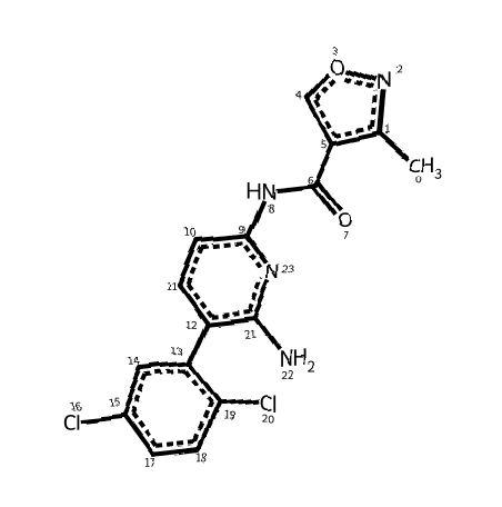 Cc1nocc1C(=O)Nc1ccc(-c2cc(Cl)ccc2Cl)c(N)n1